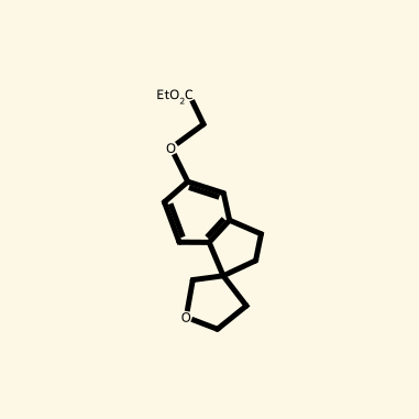 CCOC(=O)COc1ccc2c(c1)CCC21CCOC1